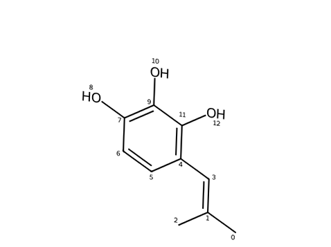 CC(C)=Cc1ccc(O)c(O)c1O